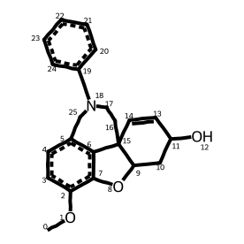 COc1ccc2c3c1OC1CC(O)C=CC31CCN(c1ccccc1)C2